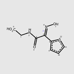 O=C(O)CNC(=O)/C(=N/O)c1cccs1